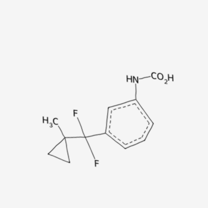 CC1(C(F)(F)c2cccc(NC(=O)O)c2)CC1